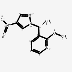 COc1ncccc1[C@@H](C)n1cc([N+](=O)[O-])cn1